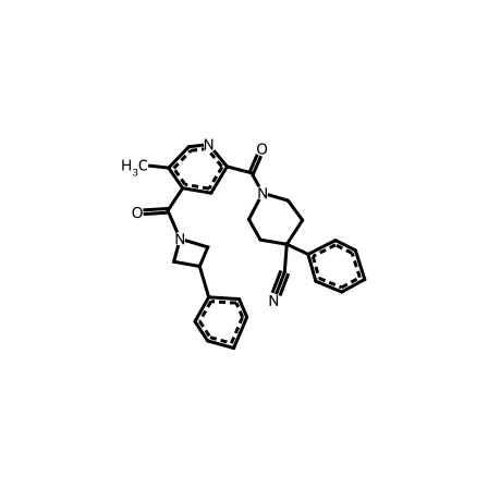 Cc1cnc(C(=O)N2CCC(C#N)(c3ccccc3)CC2)cc1C(=O)N1CC(c2ccccc2)C1